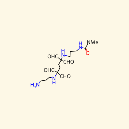 CNC(=O)NCCCNC(C=O)(C=O)CCC(C=O)(C=O)NCCCN